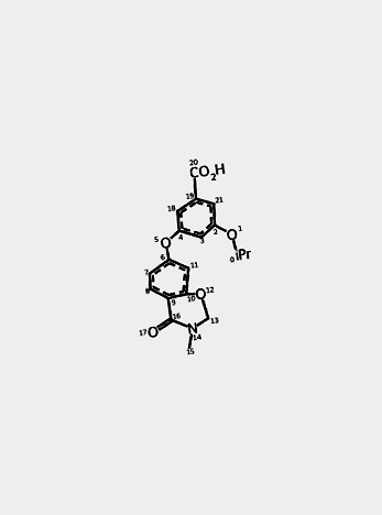 CC(C)Oc1cc(Oc2ccc3c(c2)OCN(C)C3=O)cc(C(=O)O)c1